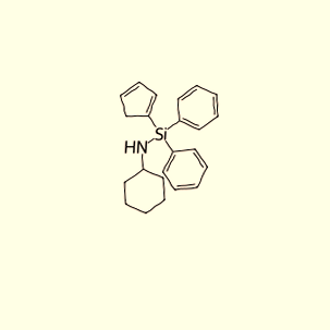 C1=CCC([Si](NC2CCCCC2)(c2ccccc2)c2ccccc2)=C1